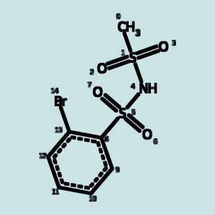 CS(=O)(=O)NS(=O)(=O)c1ccccc1Br